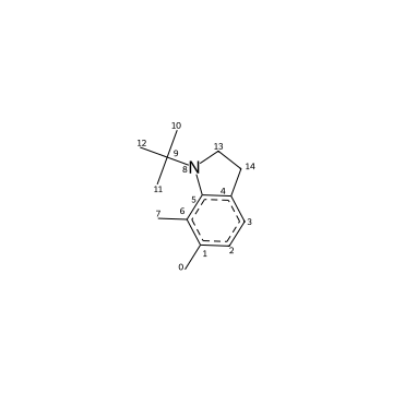 Cc1ccc2c(c1C)N(C(C)(C)C)CC2